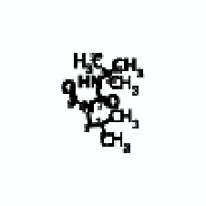 CC(C)CN([C]=O)C(=O)NC(C)(C)C